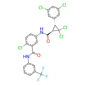 O=C(Nc1cccc(C(F)(F)F)c1)c1cc(NC(=O)[C@H]2[C@H](c3cc(Cl)cc(Cl)c3)C2(Cl)Cl)ccc1Cl